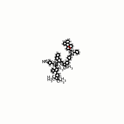 CC1(C)CC(C)(C)c2cc(-c3ccc(-c4nc(C5=CC(CC6(C)CC(C)(C)c7ccc(-c8ccc(-c9nc(-c%10ccccc%10)nc(-c%10ccc(-c%11cccc%12c%11C(c%11ccccc%11)CC=C%12)cc%10)n9)cc8)cc76)=CC6c7ccccc7C=CC56)nc(-c5ccc(C#N)cc5)n4)c4ccccc34)ccc21